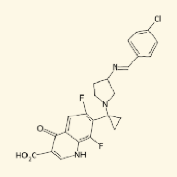 O=C(O)c1c[nH]c2c(F)c(C3(N4CCC(N=Cc5ccc(Cl)cc5)C4)CC3)c(F)cc2c1=O